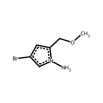 COCc1cc(Br)cn1N